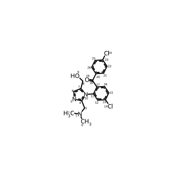 CN(C)Cc1ncc(CO)n1-c1cc(Cl)ccc1C(=O)c1ccc(Cl)cc1